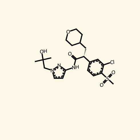 CC(C)(O)Cn1ccc(NC(=O)[C@H](CC2CCOCC2)c2ccc(S(C)(=O)=O)c(Cl)c2)n1